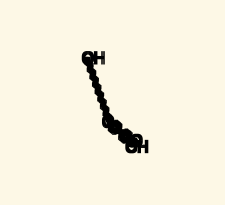 O=C(O)c1ccc(-c2ccc(OCCCCCCCCCCCCCCCCO)cc2)cc1